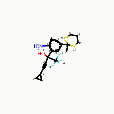 CC1(c2ccc(N)c(C(O)(C#CC3CC3)C(F)(F)F)c2)SCCCS1